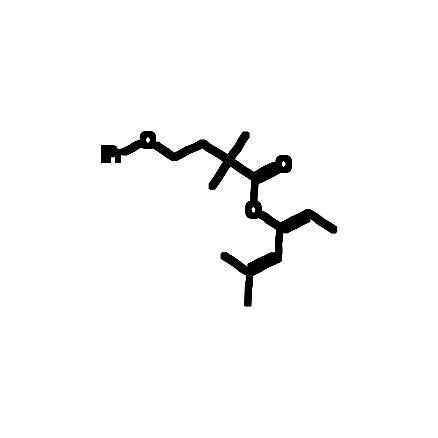 C/C=C(\C=C(C)C)OC(=O)C(C)(C)CCOC(C)C